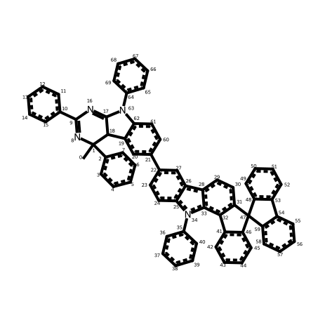 CC1(c2ccccc2)N=C(c2ccccc2)N=C2C1c1cc(-c3ccc4c(c3)c3ccc5c(c3n4-c3ccccc3)-c3ccccc3C53c4ccccc4-c4ccccc43)ccc1N2c1ccccc1